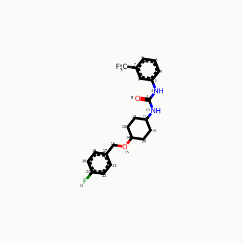 O=C(Nc1cccc(C(F)(F)F)c1)NC1CCC(OCc2ccc(F)cc2)CC1